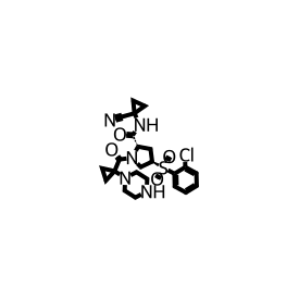 N#CC1(NC(=O)[C@@H]2C[C@@H](S(=O)(=O)c3ccccc3Cl)CN2C(=O)C2(N3CCNCC3)CC2)CC1